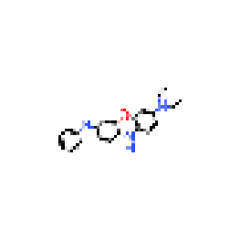 CCN(CC)c1ccc2c(c1)OC1=C/C(=N/c3ccccc3)C=CC1N2